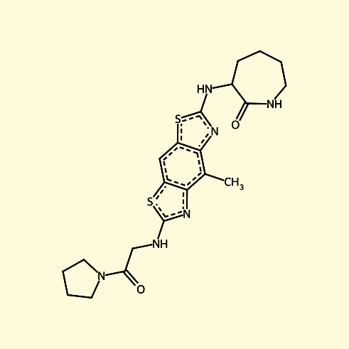 Cc1c2nc(NCC(=O)N3CCCC3)sc2cc2sc(NC3CCCCNC3=O)nc12